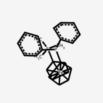 C[Si](C)(C)[C]12[CH]3[CH]4[CH]5[CH]1[Fe]45321678[CH]2[CH]1[CH]6[C]7(P(c1ccccc1)c1ccccc1)[CH]28